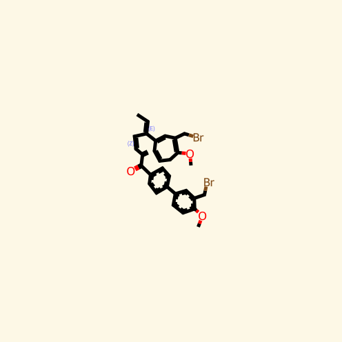 C=C(/C=C\C(=C/C)C1=CC(CBr)=C(OC)CC=C1)C(=O)c1ccc(-c2ccc(OC)c(CBr)c2)cc1